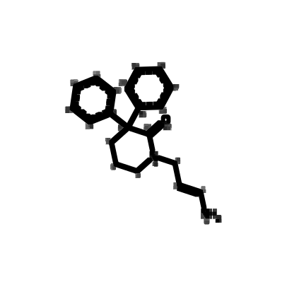 NC=CCN1CCCC(c2ccccc2)(c2ccccc2)C1=O